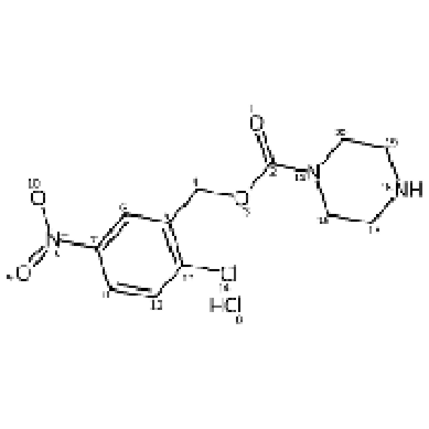 Cl.O=C(OCc1cc([N+](=O)[O-])ccc1Cl)N1CCNCC1